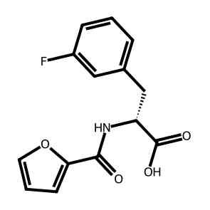 O=C(N[C@H](Cc1cccc(F)c1)C(=O)O)c1ccco1